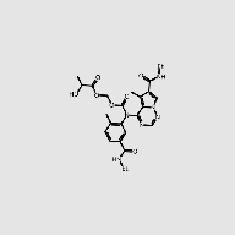 CCNC(=O)c1ccc(C)c(N(C(=O)OCOC(=O)C(C)O)c2ncnn3cc(C(=O)NCC)c(C)c23)c1